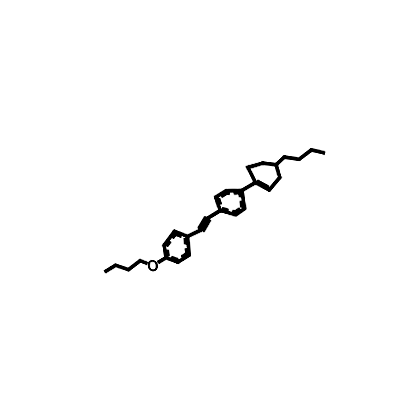 CCCCOc1ccc(C#Cc2ccc(C3=CCC(CCCC)CC3)cc2)cc1